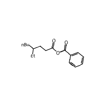 CCCCC(CC)CCC(=O)OC(=O)c1ccccc1